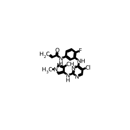 C=CC(=O)Nc1ccc(F)c(Nc2nc(Nc3cn(C)nc3C)ncc2Cl)c1